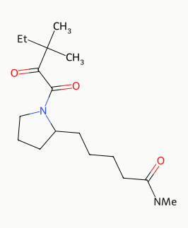 CCC(C)(C)C(=O)C(=O)N1CCCC1CCCCC(=O)NC